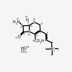 C[N+](C)(C)CC=CC1=C(C(=O)O)N2C(=O)[C@@H](N)[C@H]2SC1.Cl.[Cl-]